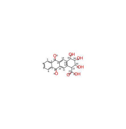 O=C1c2ccccc2C(=O)c2cc3c(cc21)C(O)C(O)C(O)C3C(=O)O